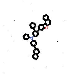 c1ccc(-c2cc(N(c3ccccc3)c3ccc(-c4ccc5ccccc5c4)cc3)ccc2-c2ccc3c(c2)oc2ccc4ccccc4c23)cc1